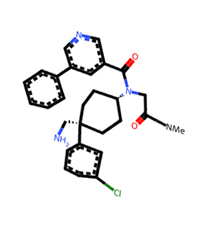 CNC(=O)CN(C(=O)c1cncc(-c2ccccc2)c1)[C@H]1CC[C@](CN)(c2cccc(Cl)c2)CC1